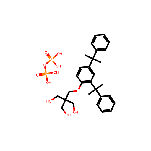 CC(C)(c1ccccc1)c1ccc(OCC(CO)(CO)CO)c(C(C)(C)c2ccccc2)c1.O=P(O)(O)OP(=O)(O)O